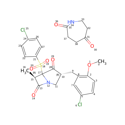 COc1ccc(Cl)cc1C[C@@H]1CN2C(=O)[C@@H](C)C2(S(=O)(=O)c2ccc(Cl)cc2)C1=O.O=C1CCNC(=O)CC1